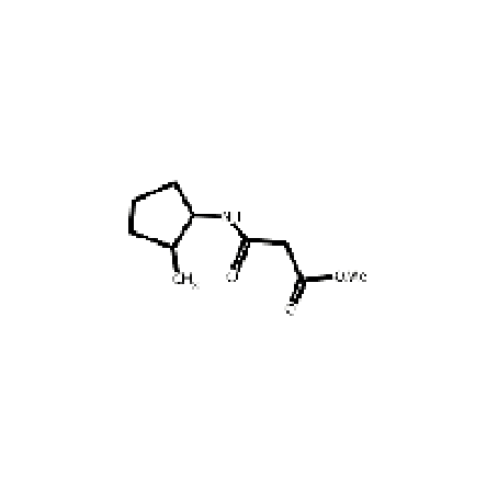 COC(=O)CC(=O)NC1CCCC1C